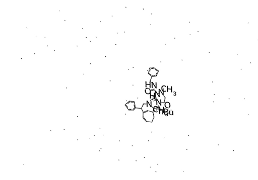 CCCC[C@H]1C2N(CC(c3ccccc3)C3=CC2(C)CCC=C3)C[C@H]2N1C(=O)CN(C)N2C(=O)NCc1ccccc1